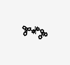 c1ccc(-n2c3ccccc3c3ccc(-c4ccnc(-c5cc(-c6ccc7c8ccccc8n(-c8ccccc8)c7c6)ccn5)c4)cc32)cc1